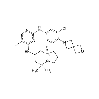 CC1(C)CC(Nc2nc(Nc3ccc(N4CC5(COC5)C4)c(Cl)c3)ncc2F)C[C@@H]2CCCN21